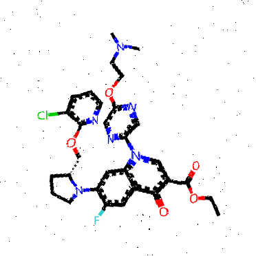 CCOC(=O)c1cn(-c2cnc(OCCN(C)C)cn2)c2cc(N3CCC[C@@H]3COc3ncccc3Cl)c(F)cc2c1=O